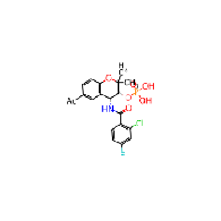 CC(=O)c1ccc2c(c1)[C@@H](NC(=O)c1ccc(F)cc1Cl)[C@@H](OP(=O)(O)O)C(C)(C)O2